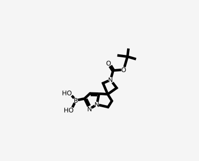 CC(C)(C)OC(=O)N1CC2(CCn3nc(B(O)O)cc32)C1